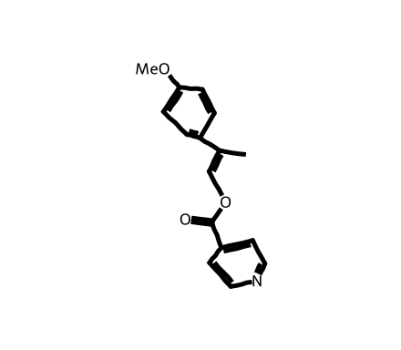 COc1ccc(/C(C)=C/OC(=O)c2ccncc2)cc1